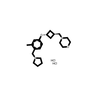 Cc1cc(O[C@H]2C[C@H](CN3CCOCC3)C2)ccc1CN1CCCC1.Cl.Cl